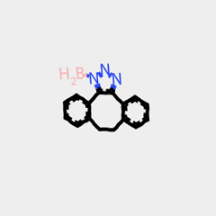 Bn1nnc2c1-c1ccccc1CCc1ccccc1-2